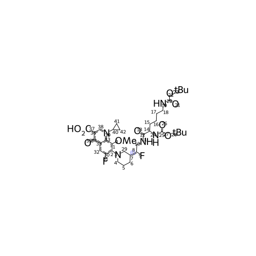 COc1c(N2CCC/C(=C(\F)CNC(=O)C(CCCCNC(=O)OC(C)(C)C)NC(=O)OC(C)(C)C)C2)c(F)cc2c(=O)c(C(=O)O)cn(C3CC3)c12